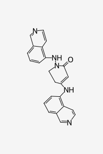 O=C1C=C(Nc2cccc3cnccc23)CCN1Nc1cccc2cnccc12